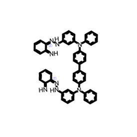 N=C1C=CC=C/C1=N/Nc1cccc(N(c2ccccc2)c2ccc(-c3ccc(N(c4ccccc4)c4cccc(N/N=C5/C=CC=CC5=N)c4)cc3)cc2)c1